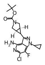 CC(C)(C)OC(=O)N1C[C@@H]2C(c3nn(C4CC4)c4c(F)c(Cl)nc(N)c34)[C@@H]2C1